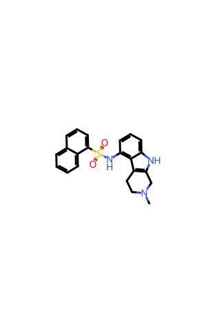 CN1CCc2c([nH]c3cccc(NS(=O)(=O)c4cccc5ccccc45)c23)C1